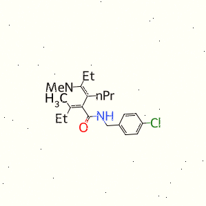 CCCC(=C(\CC)NC)/C(C(=O)NCc1ccc(Cl)cc1)=C(\C)CC